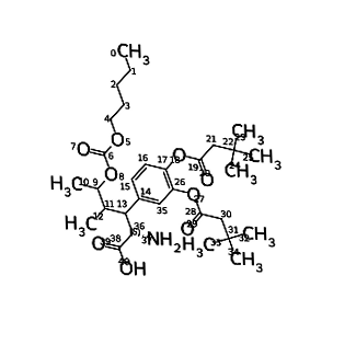 CCCCCOC(=O)OC(C)C(C)C(c1ccc(OC(=O)CC(C)(C)C)c(OC(=O)CC(C)(C)C)c1)[C@H](N)C(=O)O